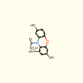 CCCc1cc(CCC)c2c(c1)Oc1ccc(CCC)cc1N2C(CC)S(=O)(=O)O